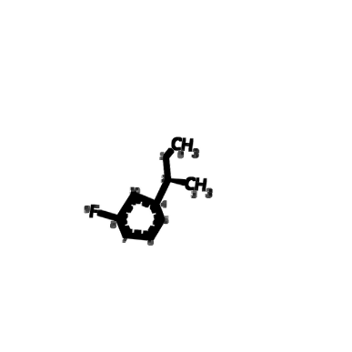 CC[C@@H](C)c1cccc(F)c1